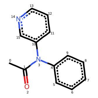 CC(=O)N(c1cc[c]cc1)c1cccnc1